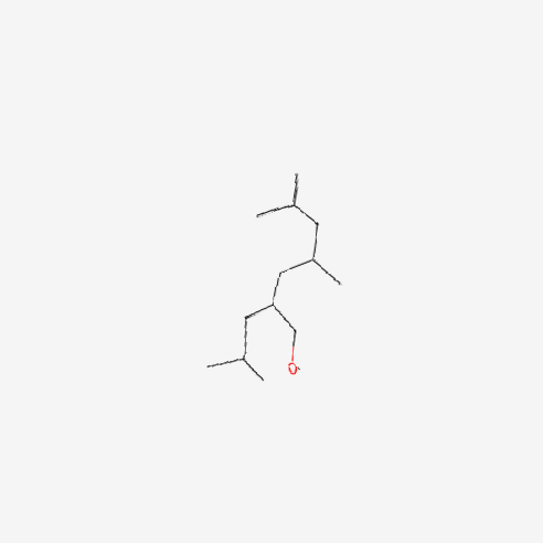 CC(C)CC(C)CC(C[O])CC(C)C